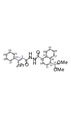 CCC/C(=C\C(=O)NNC(=O)c1ccc(C(OC)OC)c2ccccc12)c1ccccc1